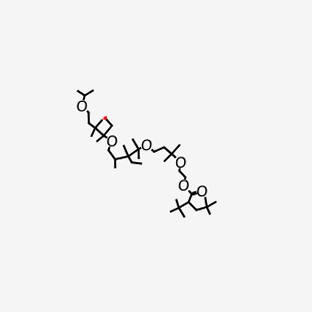 CCC(C)(OCC(C)C(C)(CC)C(C)(C)OCCC(C)(C)OCCOC(=O)C(CC(C)(C)C)C(C)(C)C)C(C)(C)CCOC(C)C